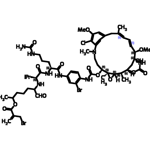 C=C(CBr)C(=O)OC(C)CCCC(C=O)N[C@H](C(=O)N[C@@H](CCCNC(N)=O)C(=O)Nc1ccc(NC(=O)O[C@H]2CCN(C)c3cc(cc(OC)c3Cl)C/C(C)=C/C=C/[C@@H](OC)[C@@]3(O)C[C@H](OC(=O)N3)[C@@H](C)[C@@H]3O[C@@]23C)c(Br)c1)C(C)C